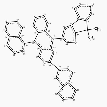 CC1(C)c2ccccc2-c2cc(-c3c4ccccc4c(-c4nccc5ccccc45)c4ccc(-c5ccc6ccccc6c5)cc34)ccc21